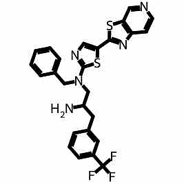 NC(Cc1cccc(C(F)(F)F)c1)CN(Cc1ccccc1)c1ncc(-c2nc3ccncc3s2)s1